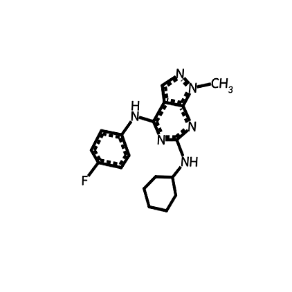 Cn1ncc2c(Nc3ccc(F)cc3)nc(NC3CCCCC3)nc21